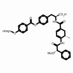 CCCCCCCOc1ccc(C(=O)Oc2ccc(C[C@H](NC(=O)C3=CC=C(NC(=O)[C@@H](OC)c4ccccc4)[C@@H](C)C3)C(=O)O)cc2)cc1